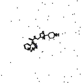 C=C(SCc1csc(C2CCNCC2)n1)N(/N=N\N)c1ccccc1